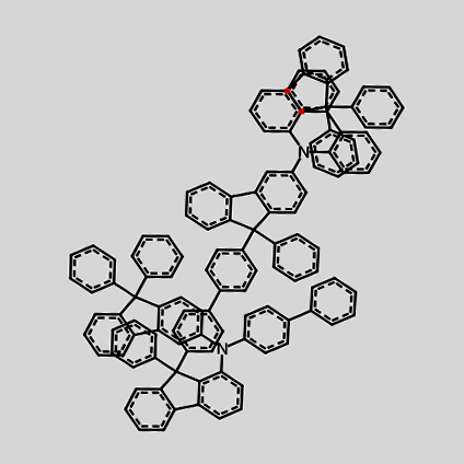 c1ccc(-c2ccc(N(c3ccc4c(c3)-c3ccccc3C4(c3ccccc3)c3ccccc3)c3cccc4c3C(c3ccccc3)(c3ccc(-c5ccc(C6(c7ccccc7)c7ccccc7-c7cc(N(c8ccccc8-c8ccccc8)c8cccc9c8C(c8ccccc8)(c8ccccc8)c8ccccc8-9)ccc76)cc5)cc3)c3ccccc3-4)cc2)cc1